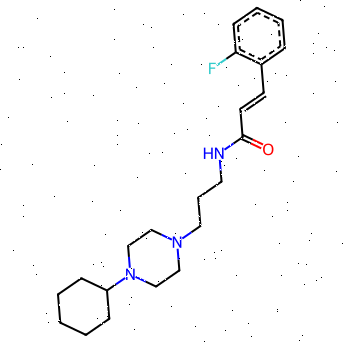 O=C(/C=C/c1ccccc1F)NCCCN1CCN(C2CCCCC2)CC1